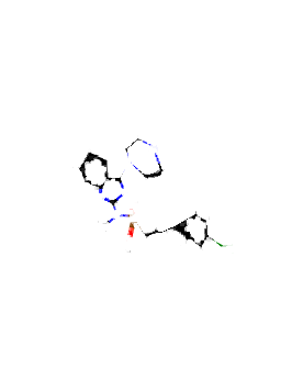 CN(c1nc(N2CCNCC2)c2ccccc2n1)S(=O)(=O)CCc1ccc(Cl)cc1